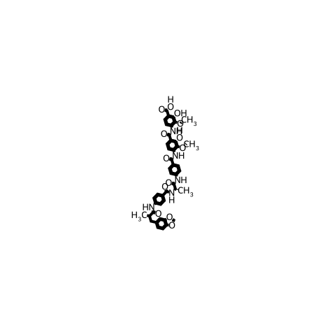 COc1c(NC(=O)c2ccc(NC(=O)c3ccc(NC(=O)[C@H](C)NC(=O)c4ccc(NC(=O)C(C)Cc5ccc6c(c5)OCO6)cc4)cc3)c(OC)c2O)ccc(C(=O)O)c1O